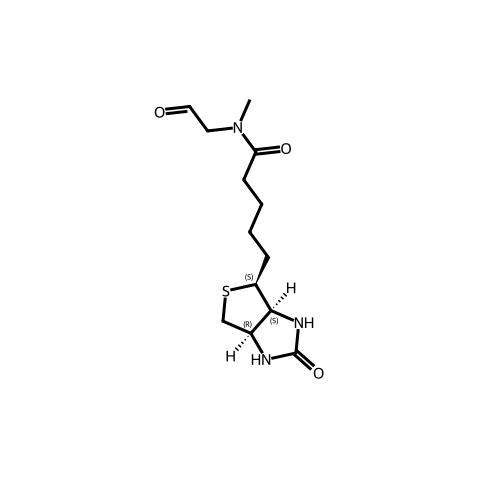 CN(CC=O)C(=O)CCCC[C@@H]1SC[C@@H]2NC(=O)N[C@@H]21